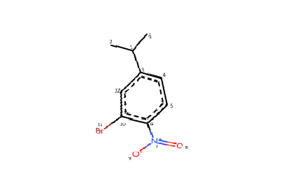 [CH2]C(C)c1ccc([N+](=O)[O-])c(Br)c1